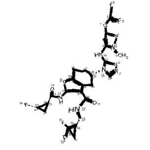 Cn1nc(OC(F)F)cc1Nc1nncn1[C@H]1CCc2sc(NC(=O)[C@H]3C[C@@H]3F)c(C(=O)NC[C@@H]3CC3(F)F)c2C1